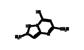 CN1C=C2N=C(C(=O)O)C=C(S)N2N1